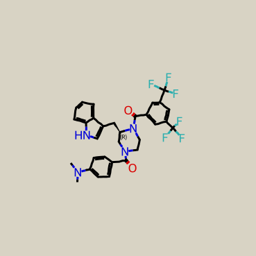 CN(C)c1ccc(C(=O)N2CCN(C(=O)c3cc(C(F)(F)F)cc(C(F)(F)F)c3)[C@H](Cc3c[nH]c4ccccc34)C2)cc1